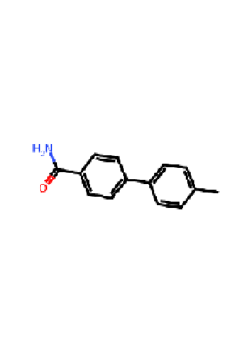 Cc1ccc(-c2ccc(C(N)=O)cc2)cc1